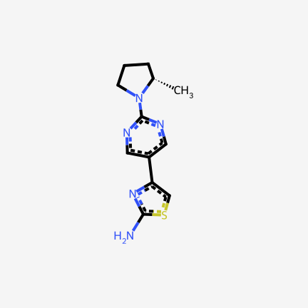 C[C@H]1CCCN1c1ncc(-c2csc(N)n2)cn1